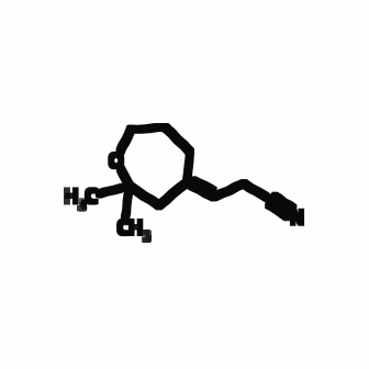 CC1(C)C/C(=C/CC#N)CCCO1